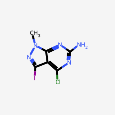 Cn1nc(I)c2c(Cl)nc(N)nc21